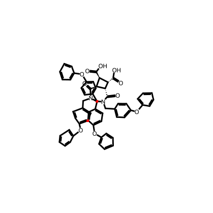 O=C(O)[C@H]1[C@H](C(=O)O)[C@H](C(=O)N(Cc2ccc(Oc3ccccc3)cc2)Cc2ccc(Oc3ccccc3)cc2)[C@H]1C(=O)N(Cc1ccc(Oc2ccccc2)cc1)Cc1ccc(Oc2ccccc2)cc1